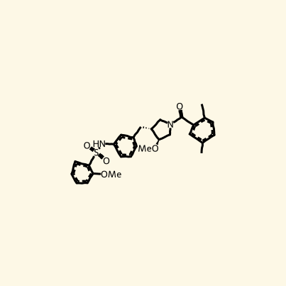 COc1ccccc1S(=O)(=O)Nc1cccc(C[C@@H]2CN(C(=O)c3cc(C)ccc3C)C[C@H]2OC)c1